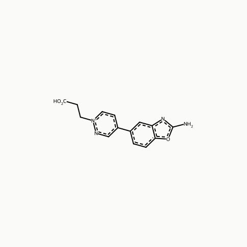 Nc1nc2cc(-c3cc[n+](CCC(=O)O)nc3)ccc2o1